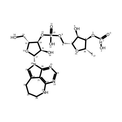 O=[PH](O)O[C@@H]1[C@H](O)[C@@H](COP(=O)(O)O[C@H]2[C@@H](O)[C@H](n3cc4c5c(ncnc53)NCCC4)O[C@@H]2CO)O[C@H]1I